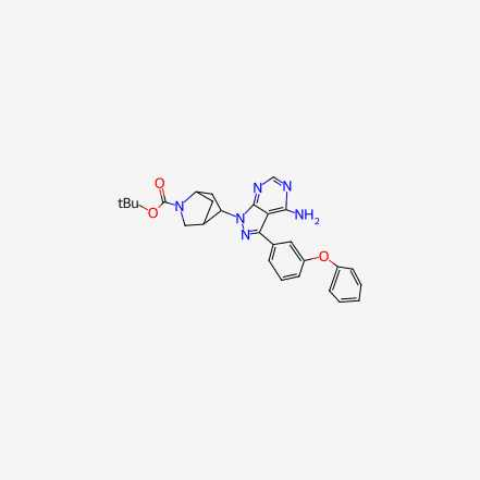 CC(C)(C)OC(=O)N1CC2CC1CC2n1nc(-c2cccc(Oc3ccccc3)c2)c2c(N)ncnc21